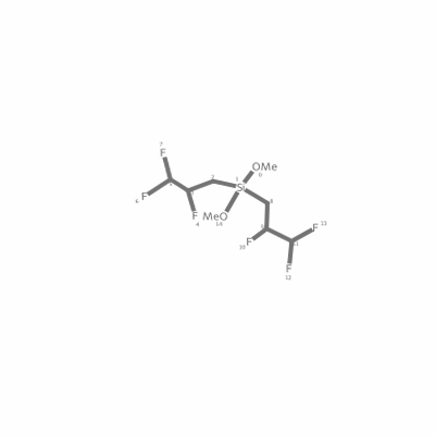 CO[Si](CC(F)C(F)F)(CC(F)C(F)F)OC